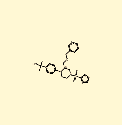 CC(C)(O)c1ccc(N2CCN(S(=O)(=O)c3cccs3)C[C@@H]2COCc2cccnc2)cc1